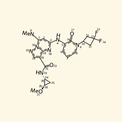 CNc1cc(Nc2cccn(C3CC(F)(F)C3)c2=O)nc2c(C(=O)N[C@@H]3C[C@H]3OC)cnn12